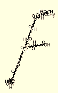 CC(C)(C)OC(=O)NNc1ccc(N(C=O)CCCCCC(=O)NCCCCCC(=O)NCCCC[C@H](NC(=O)CCC(=O)NCCCCCC(=O)O)C(=O)NCCCOCCOCCOCCCCC(=O)CCCC[C@@H]2SC[C@@H]3NC(=O)N[C@@H]32)cn1